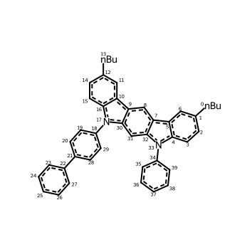 CCCCc1ccc2c(c1)c1cc3c4cc(CCCC)ccc4n(-c4ccc(-c5ccccc5)cc4)c3cc1n2-c1ccccc1